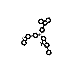 CC1(C)c2cc(-c3ccccc3)ccc2-c2ccc(N(c3ccc(-c4ccc5oc6ccccc6c5c4)cc3)c3ccc(-c4cc5ccccc5c5ccccc45)cc3)cc21